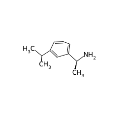 CC(C)c1cccc([C@H](C)N)c1